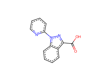 O=C(O)c1nn(-c2ccccn2)c2ccccc12